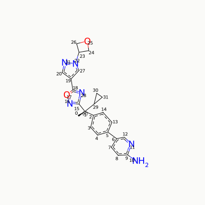 C[C@@](c1ccc(-c2ccc(N)nc2)cc1)(c1noc(-c2cnn(C3COC3)c2)n1)C1CC1